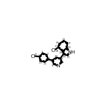 Clc1ccc(-c2cncc(-c3c[nH]c4cccc(Cl)c34)c2)cc1